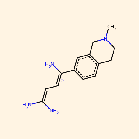 CN1CCc2ccc(/C(N)=C/C=C(N)N)cc2C1